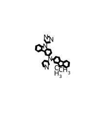 CC1(C)c2ccccc2-c2ccc(N(c3cccnc3)c3ccc4c(c3)c3ccccc3n4-c3cncnc3)cc21